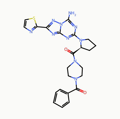 Nc1nc(N2CCC[C@H]2C(=O)N2CCN(C(=O)c3ccccc3)CC2)nc2nc(-c3nccs3)nn12